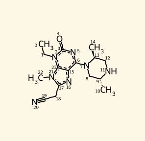 CCn1c(=O)nc(N2C[C@@H](C)NC[C@@H]2C)c2nc(CC#N)n(C)c21